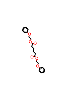 O=C(CCCCC(=O)OCCOc1ccccc1)OCCOc1ccccc1